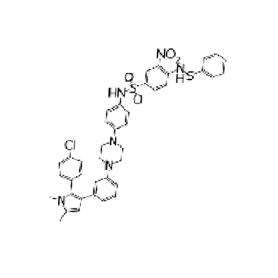 Cc1cc(-c2cccc(N3CCN(c4ccc(NS(=O)(=O)c5ccc(NSc6ccccc6)c([N+](=O)[O-])c5)cc4)CC3)c2)c(-c2ccc(Cl)cc2)n1C